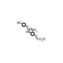 CCOC(=O)COc1ccc(NC(=O)COc2ccc(C#N)cc2)c(N)c1